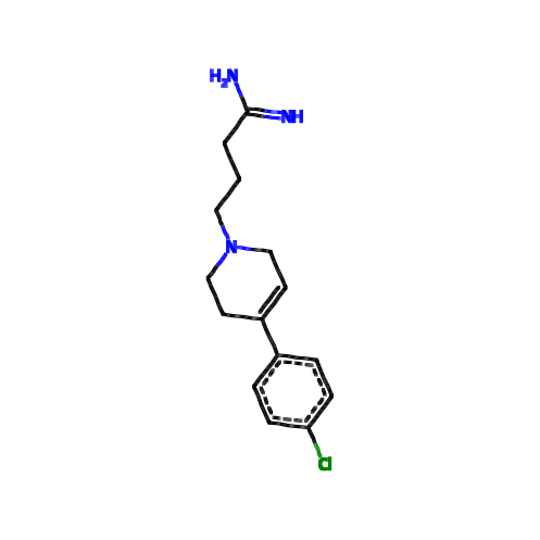 N=C(N)CCCN1CC=C(c2ccc(Cl)cc2)CC1